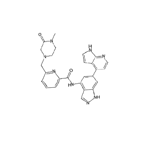 CN1CCN(Cc2cccc(C(=O)Nc3cc(-c4ccnc5[nH]ccc45)cc4[nH]ncc34)n2)CC1=O